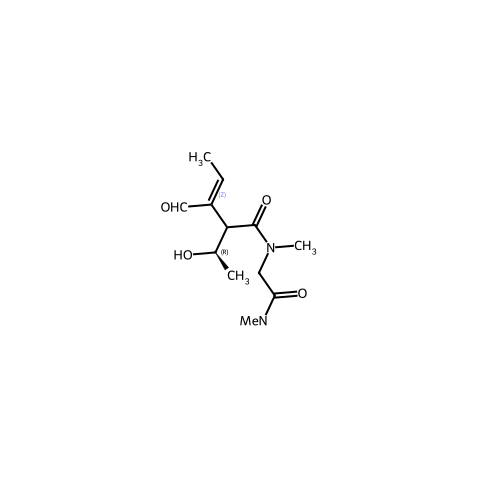 C/C=C(\C=O)C(C(=O)N(C)CC(=O)NC)[C@@H](C)O